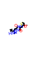 COc1ccsc1/C=c1\[nH]c(=O)/c(=C/c2nc[nH]c2C(C)(C)C)[nH]c1=O